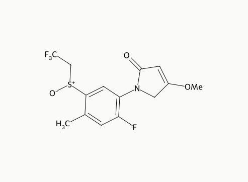 COC1=CC(=O)N(c2cc([S+]([O-])CC(F)(F)F)c(C)cc2F)C1